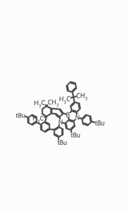 CC(C)(C)c1ccc(-c2ccc3cc2C2(C)CCC(C)(C)c4cc5c(cc42)N(c2ccc(C(C)(C)C)cc2-3)c2cc(C(C)(C)C)cc3c2B5c2cc(C(C)(C)c4ccccc4)ccc2N3c2ccc(C(C)(C)C)cc2)cc1